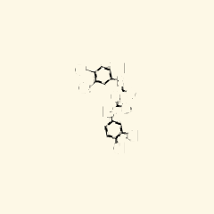 O=C(Bc1ccc(Cl)c(Cl)c1)OC(=O)Bc1ccc(Cl)c(Cl)c1